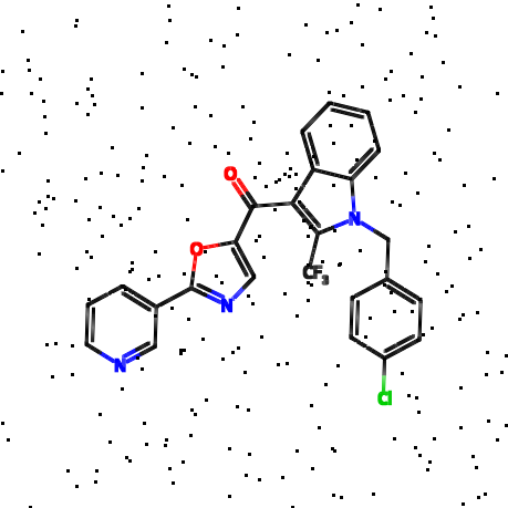 O=C(c1cnc(-c2cccnc2)o1)c1c(C(F)(F)F)n(Cc2ccc(Cl)cc2)c2ccccc12